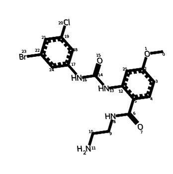 COc1ccc(C(=O)NCCN)c(NC(=O)Nc2cc(Cl)cc(Br)c2)c1